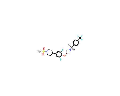 [2H]C([2H])(c1ccc(C(F)(F)F)cc1)N1CC(Oc2c(F)cc(C3CCN(S(C)(=O)=O)CC3)cc2F)C1